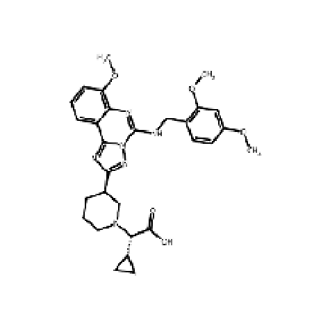 COc1ccc(CNc2nc3c(OC)cccc3c3nc([C@@H]4CCCN([C@H](C(=O)O)C5CC5)C4)nn23)c(OC)c1